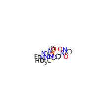 CCN(CC)c1ncc(N(C(C)C)S(C)(=O)=O)c(N[C@@H](Cc2ccc(N3C(=O)N(C)C4(CCCCC4)C3=O)cc2)C(=O)O)n1